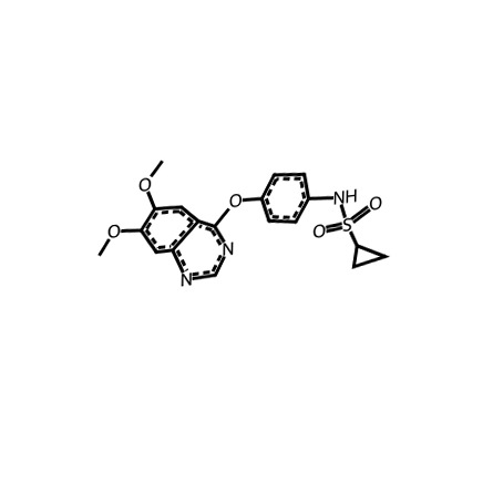 COc1cc2ncnc(Oc3ccc(NS(=O)(=O)C4CC4)cc3)c2cc1OC